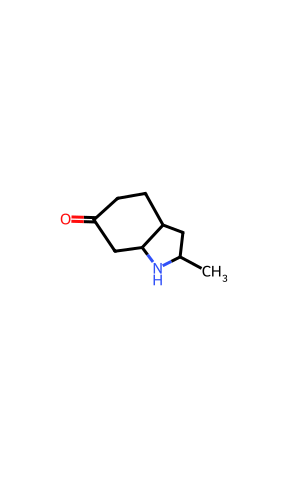 CC1CC2CCC(=O)CC2N1